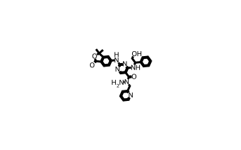 CC1(C)OC(=O)c2ccc(Nc3ncc(C(=O)N(N)Cc4ccccn4)c(NC(CO)c4ccccc4)n3)cc21